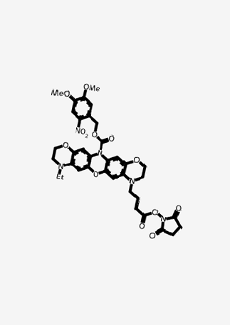 CCN1CCOc2cc3c(cc21)Oc1cc2c(cc1N3C(=O)OCc1cc(OC)c(OC)cc1[N+](=O)[O-])OCCN2CCCC(=O)ON1C(=O)CCC1=O